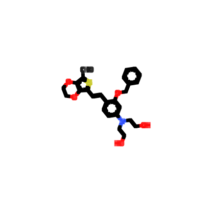 O=Cc1sc(/C=C/c2ccc(N(CCO)CCO)cc2OCc2ccccc2)c2c1OCCO2